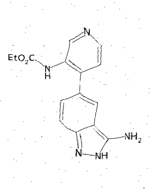 CCOC(=O)Nc1cnccc1-c1ccc2n[nH]c(N)c2c1